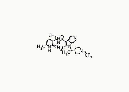 Cc1cc(C)c(CNC(=O)c2c(C)n(C(C)C3CCN(CC(F)(F)F)CC3)c3ccccc23)c(=O)[nH]1